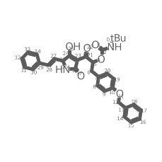 CC(C)(C)NC(=O)OC(Cc1ccc(OCc2ccccc2)cc1)C(=O)C1=C(O)C(C=Cc2ccccc2)NC1=O